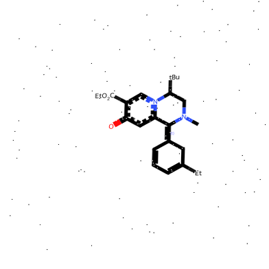 CCOC(=O)c1cn2c(cc1=O)/C(=C1\C=CC=C(CC)C1)N(C)CC2C(C)(C)C